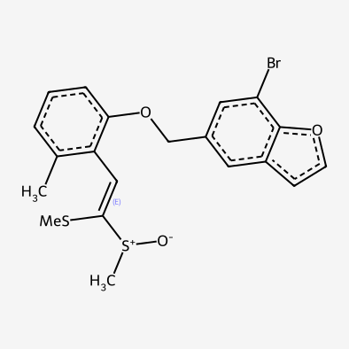 CS/C(=C\c1c(C)cccc1OCc1cc(Br)c2occc2c1)[S+](C)[O-]